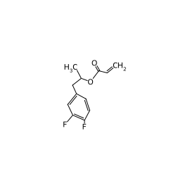 C=CC(=O)OC(C)Cc1ccc(F)c(F)c1